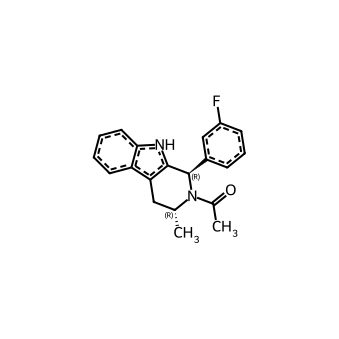 CC(=O)N1[C@H](c2cccc(F)c2)c2[nH]c3ccccc3c2C[C@H]1C